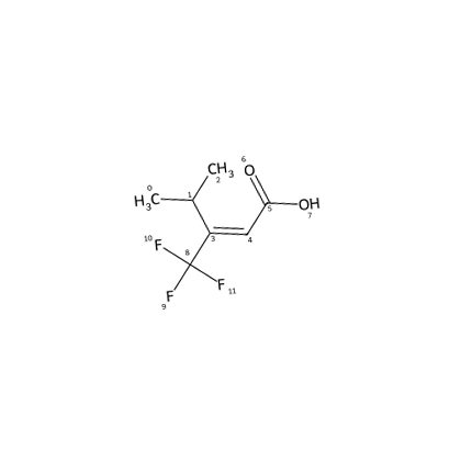 CC(C)/C(=C\C(=O)O)C(F)(F)F